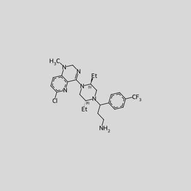 CC[C@H]1CN(C(CCN)c2ccc(C(F)(F)F)cc2)[C@H](CC)CN1C1=NCN(C)c2ccc(Cl)nc21